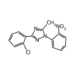 Cc1nc(-c2ccccc2Cl)nn1-c1ccccc1[N+](=O)[O-]